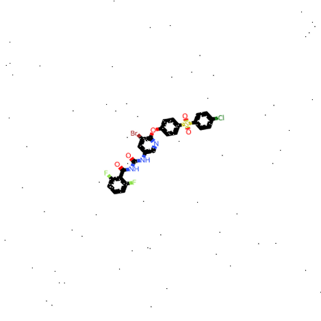 O=C(NC(=O)c1c(F)cccc1F)Nc1cnc(Oc2ccc(S(=O)(=O)c3ccc(Cl)cc3)cc2)c(Br)c1